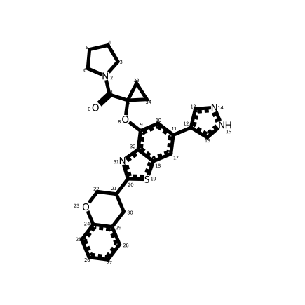 O=C(N1CCCC1)C1(Oc2cc(-c3cn[nH]c3)cc3sc(C4COc5ccccc5C4)nc23)CC1